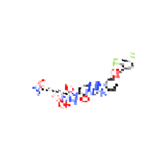 CN(C)C(=O)C=CCCC(NC(=O)O)C(=O)Nc1cccn(Cc2nc3ccc(OCc4ccc(F)cc4F)cc3[nH]2)c1=O